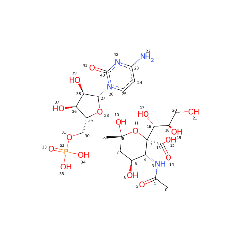 CC(=O)N[C@@H]1[C@@H](O)C[C@](C)(O)O[C@@]1(C(=O)O)[C@H](O)[C@H](O)CO.Nc1ccn([C@@H]2O[C@H](COP(=O)(O)O)[C@@H](O)[C@H]2O)c(=O)n1